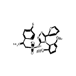 C=C(CS(=O)(=O)Nc1nnc(-c2ccco2)n1-c1c(OC)cccc1OC)c1ccc(F)cc1